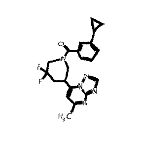 Cc1cc(C2CN(C(=O)c3cccc(C4CC4)c3)CC(F)(F)C2)n2ncnc2n1